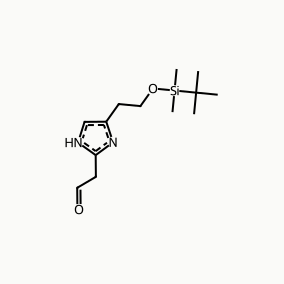 CC(C)(C)[Si](C)(C)OCCc1c[nH]c(CC=O)n1